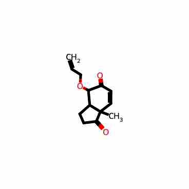 C=CCOC1C(=O)C=CC2(C)C(=O)CCC12